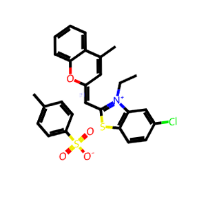 CC[n+]1c(/C=C2\C=C(C)c3ccccc3O2)sc2ccc(Cl)cc21.Cc1ccc(S(=O)(=O)[O-])cc1